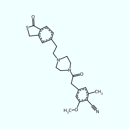 COc1cc(CC(=O)N2CCN(CCc3ccc4c(c3)CSC4=O)CC2)cc(C)c1C#N